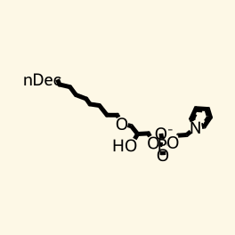 CCCCCCCCCCCCCCCCCCOCC(O)COP(=O)([O-])OCC[n+]1ccccc1